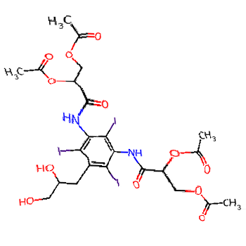 CC(=O)OCC(OC(C)=O)C(=O)Nc1c(I)c(CC(O)CO)c(I)c(NC(=O)C(COC(C)=O)OC(C)=O)c1I